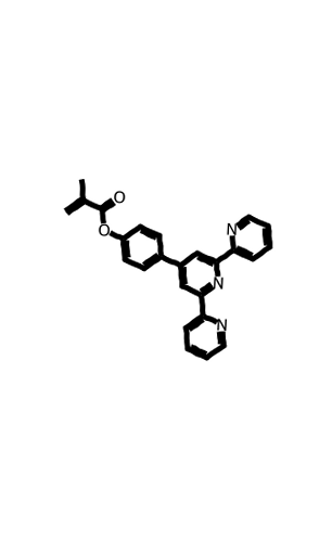 C=C(C)C(=O)Oc1ccc(-c2cc(-c3ccccn3)nc(-c3ccccn3)c2)cc1